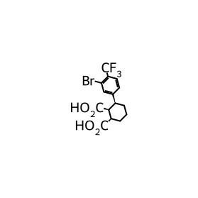 O=C(O)[C@H]1[C@@H](c2ccc(C(F)(F)F)c(Br)c2)CCC[C@H]1C(=O)O